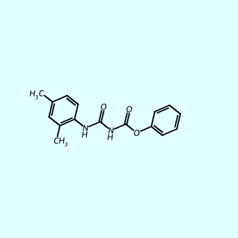 Cc1ccc(NC(=O)NC(=O)Oc2ccccc2)c(C)c1